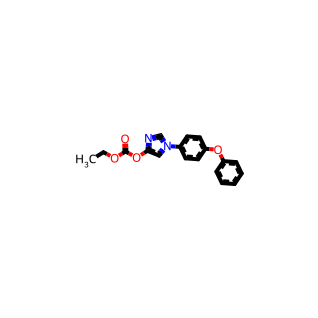 CCOC(=O)Oc1cn(-c2ccc(Oc3ccccc3)cc2)cn1